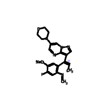 C=Nc1cc(F)c(OC)cc1/C(=C\C)c1cnn2cc(N3CCOCC3)cnc12